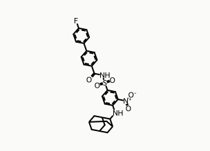 O=C(NS(=O)(=O)c1ccc(NC2C3CC4CC(C3)CC2C4)c([N+](=O)[O-])c1)c1ccc(-c2ccc(F)cc2)cc1